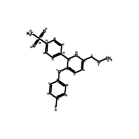 COCC1=CC=C(Oc2ccc(F)cc2)C(c2ccc(S(C)(=O)=O)cc2)O1